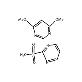 COc1cc(OC)ncn1.CS(=O)(=O)c1ncccn1